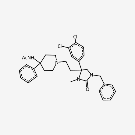 CC(=O)NC1(c2ccccc2)CCN(CCC2(c3ccc(Cl)c(Cl)c3)CN(Cc3ccccc3)C(=O)N2C)CC1